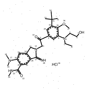 CCN(CCO)c1cc(C(=O)CN2Cc3cc(N(C)C)c(C(=O)NC)cc3C2=N)cc(C(C)(C)C)c1OC.Cl